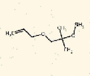 C=CCOCC(C)(C)O[SiH3]